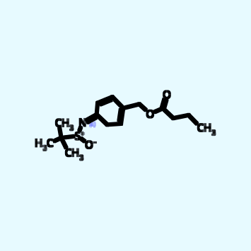 CCCC(=O)OCC1=CC/C(=N\[S+]([O-])C(C)(C)C)C=C1